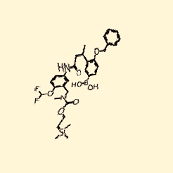 CC(CC(=O)Nc1ccc(OC(F)F)c(CN(C)C(=O)OCC[Si](C)(C)C)c1)c1cc(B(O)O)ccc1OCc1ccccc1